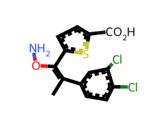 C/C(=C(\ON)c1ccc(C(=O)O)s1)c1ccc(Cl)c(Cl)c1